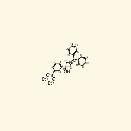 CCOC(OCC)c1cccc(C2(O)CN(C(c3ccccc3)c3ccccc3)C2)c1